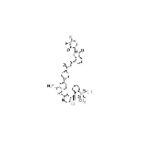 COc1cc(N2CCN(C(=O)CSc3cccc4c3CN(C3CCC(=O)NC3=O)C4=O)CC2)ccc1Nc1ncc(Cl)c(Nc2ccccc2P(=O)(OC)OC)n1